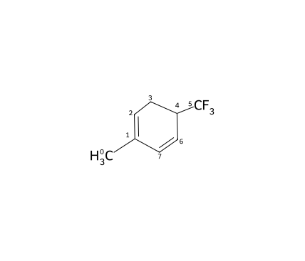 CC1=CCC(C(F)(F)F)C=C1